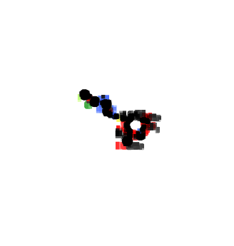 CO[C@H]1C[C@@H](C)[C@@]2(O)O[C@@H]1[C@@H](O)C[C@@H](C)C/C(C)=C/[C@@H](CCCSCCNCc1ccc(-c3ccc4ncnc(Nc5ccc(OCc6cccc(F)c6)c(Cl)c5)c4c3)o1)C(=O)C[C@H](O)[C@@H](C)[C@@H](/C(C)=C/[C@@H]1CC[C@@H](O)[C@H](OC)C1)OC(=O)[C@@H]1CCCCN1C(=O)C2=O